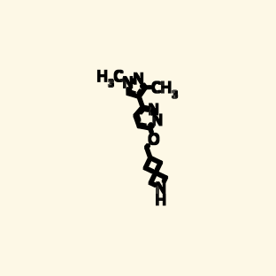 Cc1nn(C)cc1-c1ccc(OCC2CC3(CNC3)C2)nn1